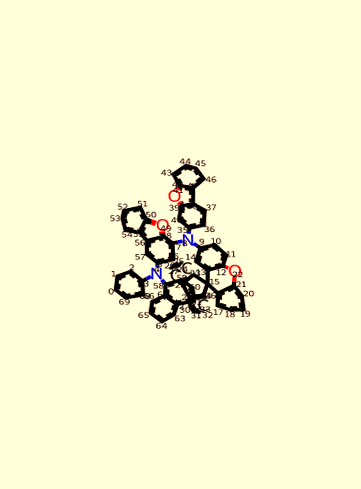 c1ccc(N(c2cc(N(c3ccc4c(c3)C3(c5ccccc5O4)c4ccccc4-c4ccccc43)c3ccc4c(c3)oc3ccccc34)c3oc4ccccc4c3c2)c2cccc3ccccc23)cc1